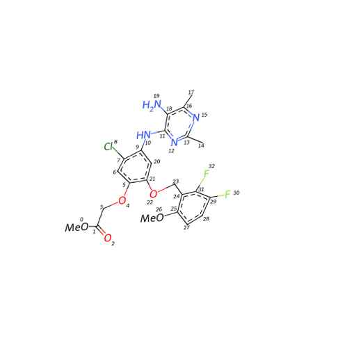 COC(=O)COc1cc(Cl)c(Nc2nc(C)nc(C)c2N)cc1OCc1c(OC)ccc(F)c1F